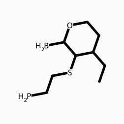 BC1OCCC(CC)C1SCCP